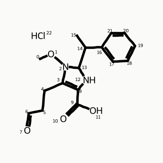 CON1C(CCC=O)=C(C(=O)O)NC1C(C)c1ccccc1.Cl